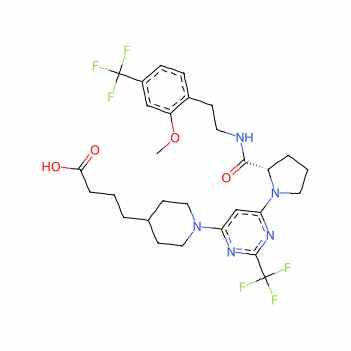 COc1cc(C(F)(F)F)ccc1CCNC(=O)[C@@H]1CCCN1c1cc(N2CCC(CCCC(=O)O)CC2)nc(C(F)(F)F)n1